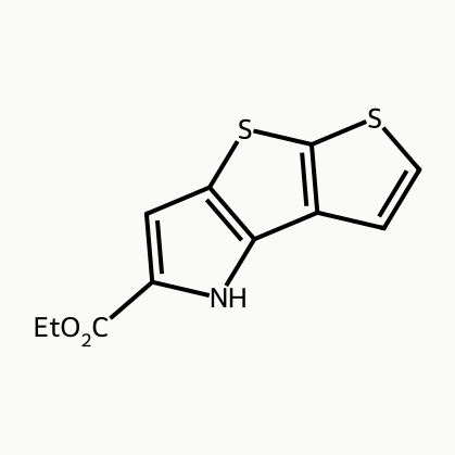 CCOC(=O)c1cc2sc3sccc3c2[nH]1